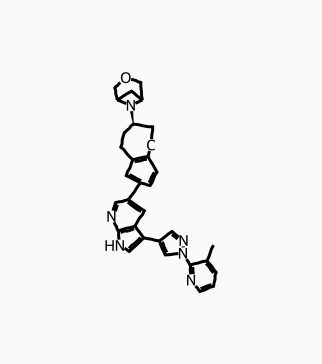 Cc1cccnc1-n1cc(-c2c[nH]c3ncc(-c4ccc5c(c4)CC[C@@H](N4C6COCC4C6)CC5)cc23)cn1